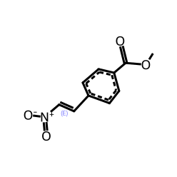 COC(=O)c1ccc(/C=C/[N+](=O)[O-])cc1